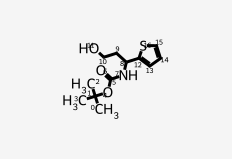 CC(C)(C)OC(=O)NC(CCO)c1cccs1